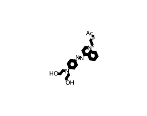 CC(=O)SCC[n+]1ccc(/N=N/c2ccc(N(CCO)CCO)cc2)c2ccccc21